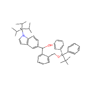 CC(C)[Si](C(C)C)(C(C)C)n1ccc2cc(C(O)c3ccccc3CO[Si](c3ccccc3)(c3ccccc3)C(C)(C)C)ccc21